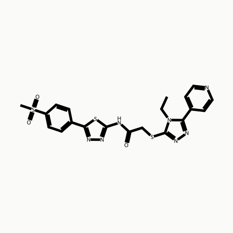 CCn1c(SCC(=O)Nc2nnc(-c3ccc(S(C)(=O)=O)cc3)s2)nnc1-c1ccncc1